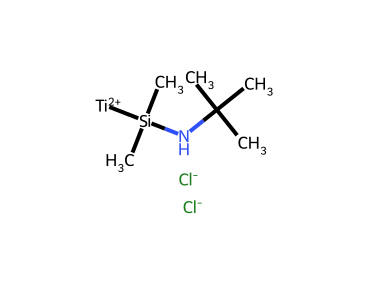 CC(C)(C)N[Si](C)(C)[Ti+2].[Cl-].[Cl-]